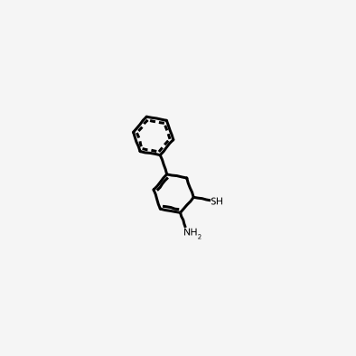 NC1=CC=C(c2ccccc2)CC1S